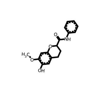 COc1cc2c(cc1O)CCC(C(=O)Nc1ccccc1)O2